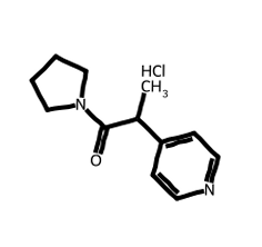 CC(C(=O)N1CCCC1)c1ccncc1.Cl